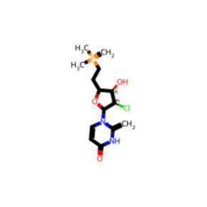 C=C1NC(=O)C=CN1C1OC(CCP(=C)(C)C)[C@@H](O)[C@H]1Cl